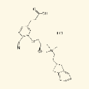 C[N+](C)(CCC1Cc2ccccc2C1)C[C@@H](O)COc1cc(CCC(=O)O)ccc1C#N.Cl